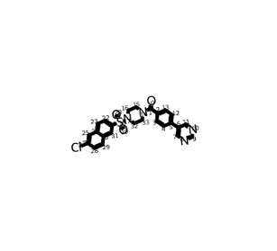 O=C(c1ccc(-c2cncnc2)cc1)N1CCN(S(=O)(=O)c2ccc3cc(Cl)ccc3c2)CC1